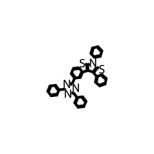 c1ccc(-c2nc(-c3ccccc3)nc(-c3ccc4sc5c(c4c3)c3c4ccccc4sc3n5-c3ccccc3)n2)cc1